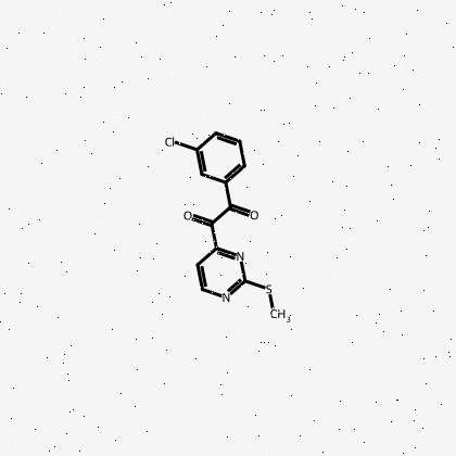 CSc1nccc(C(=O)C(=O)c2cccc(Cl)c2)n1